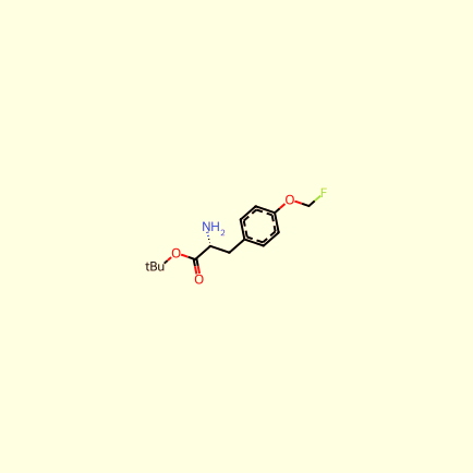 CC(C)(C)OC(=O)[C@H](N)Cc1ccc(OCF)cc1